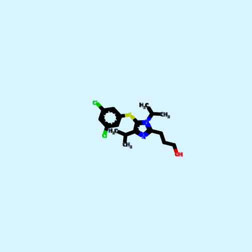 CC(C)c1nc(CCCO)n(C(C)C)c1Sc1cc(Cl)cc(Cl)c1